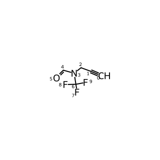 C#CCN(C=O)C(F)(F)F